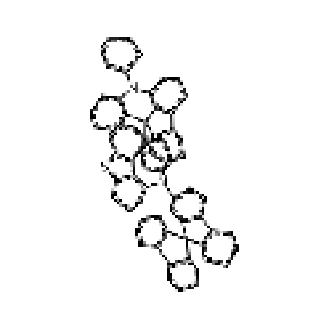 c1ccc(N2c3ccccc3C3(c4ccccc4)c4cc(N(c5ccc6c(c5)C5(c7ccccc7-c7ccccc75)c5ccccc5-6)c5cccc6sc7ccccc7c56)ccc4-c4cccc2c43)cc1